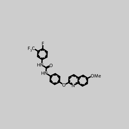 COc1ccc2nc(Oc3ccc(NC(=O)Nc4ccc(F)c(C(F)(F)F)c4)cc3)ccc2c1